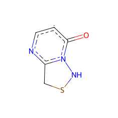 O=c1[c]cnc2n1NSC2